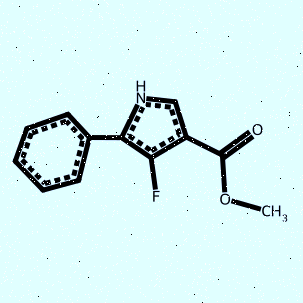 COC(=O)c1c[nH]c(-c2ccccc2)c1F